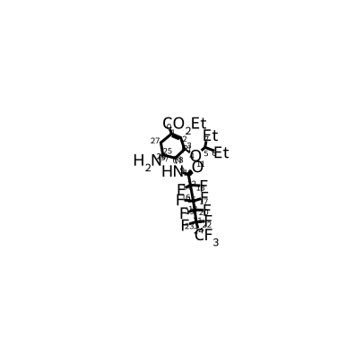 CCOC(=O)C1=C[C@@H](OC(CC)CC)[C@H](NC(=O)C(F)(F)C(F)(F)C(F)(F)C(F)(F)C(F)(F)F)[C@@H](N)C1